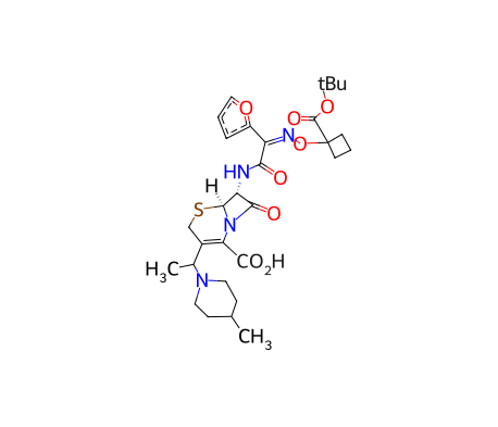 CC1CCN(C(C)C2=C(C(=O)O)N3C(=O)[C@@H](NC(=O)/C(=N\OC4(C(=O)OC(C)(C)C)CCC4)c4ccco4)[C@@H]3SC2)CC1